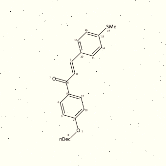 CCCCCCCCCCOc1ccc(C(=O)/C=C/c2ccc(SC)cc2)cc1